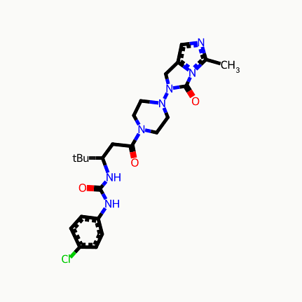 Cc1ncc2n1C(=O)N(N1CCN(C(=O)CC(NC(=O)Nc3ccc(Cl)cc3)C(C)(C)C)CC1)C2